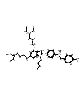 CCCCn1c(-c2ccc([S+]([O-])Cc3ccc(Cl)cc3)cc2)nc2c(OCCCN(CC)CC)cc(OCCCN(CC)CC)cc21